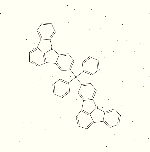 c1ccc(C(c2ccccc2)(c2ccc3c(c2)c2cccc4c5ccccc5n3c42)c2ccc3c(c2)c2cccc4c5ccccc5n3c42)cc1